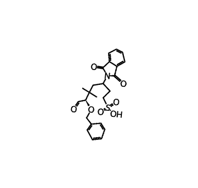 CC(C)(CC(CCS(=O)(=O)O)N1C(=O)c2ccccc2C1=O)[C@H](C=O)OCc1ccccc1